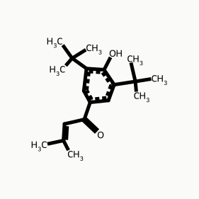 CC(C)=CC(=O)c1cc(C(C)(C)C)c(O)c(C(C)(C)C)c1